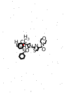 CC(C)(C)C1CN(c2nc(C(=O)N3CCOCC3)cs2)C1O[SiH](c1ccccc1)c1ccccc1